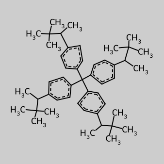 CC(c1ccc(C(c2ccc(C(C)C(C)(C)C)cc2)(c2ccc(C(C)C(C)(C)C)cc2)c2ccc(C(C)C(C)(C)C)cc2)cc1)C(C)(C)C